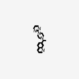 CC(c1ccc2cccnc2c1)N1CCN(c2ncccn2)CC1